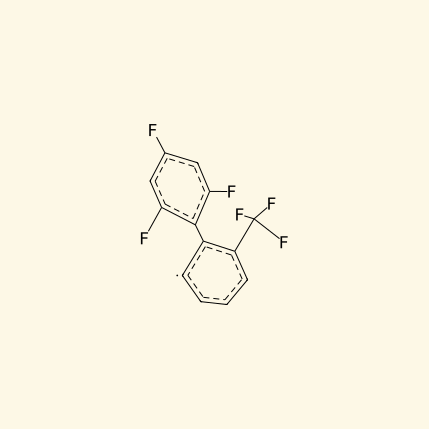 Fc1cc(F)c(-c2[c]cccc2C(F)(F)F)c(F)c1